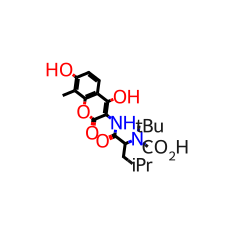 Cc1c(O)ccc2c(O)c(NC(=O)C(CC(C)C)N(C(=O)O)C(C)(C)C)c(=O)oc12